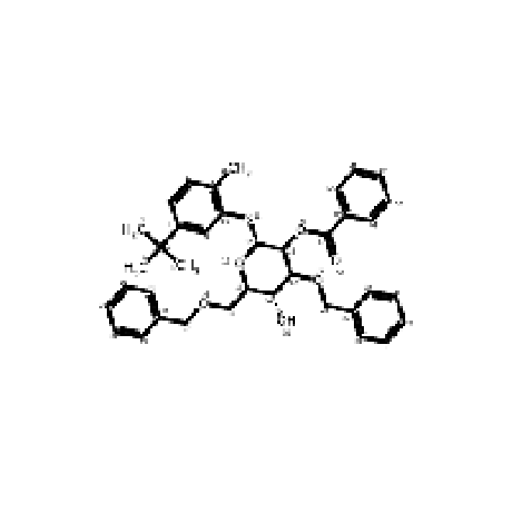 Cc1ccc(C(C)(C)C)cc1S[C@@H]1OC(COCc2ccccc2)[C@@H](O)C(OCc2ccccc2)C1OC(=O)c1ccccc1